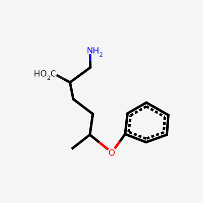 CC(CCC(CN)C(=O)O)Oc1ccccc1